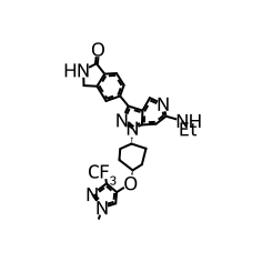 CCNc1cc2c(cn1)c(-c1ccc3c(c1)CNC3=O)nn2[C@H]1CC[C@@H](Oc2cn(C)nc2C(F)(F)F)CC1